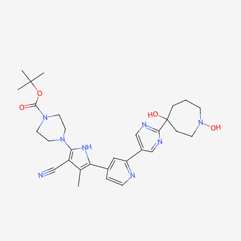 Cc1c(-c2ccnc(-c3cnc(C4(O)CCCN(O)CC4)nc3)c2)[nH]c(N2CCN(C(=O)OC(C)(C)C)CC2)c1C#N